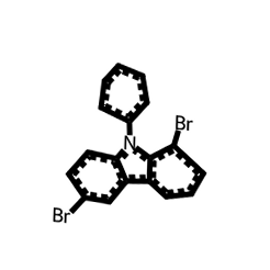 Brc1ccc2c(c1)c1cccc(Br)c1n2-c1ccccc1